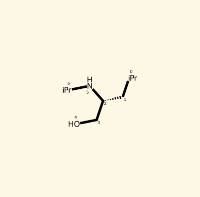 CC(C)C[C@H](CO)NC(C)C